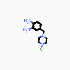 Nc1ccc(CN2CCN(Cl)CC2)cc1N